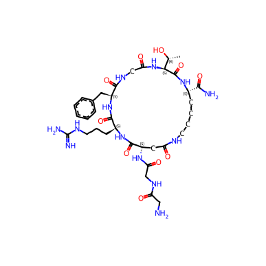 C[C@@H](O)[C@@H]1NC(=O)CNC(=O)[C@H](Cc2ccccc2)NC(=O)[C@H](CCCNC(=N)N)NC(=O)[C@@H](NC(=O)CNC(=O)CN)CC(=O)NCCCC[C@@H](C(N)=O)NC1=O